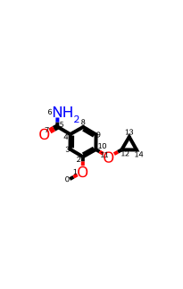 COc1cc(C(N)=O)ccc1OC1CC1